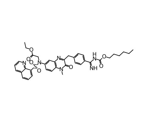 CCCCCCOC(=O)NC(=N)c1ccc(Cc2nc3cc(N(CC(=O)OCC)S(=O)(=O)c4cccc5cccnc45)ccc3n(C)c2=O)cc1